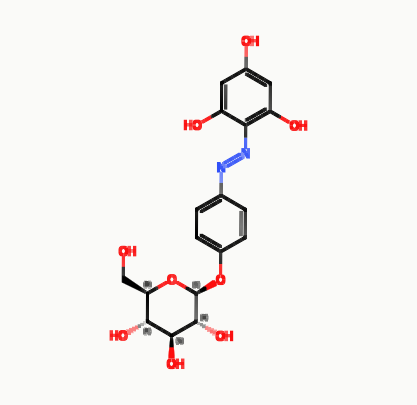 OC[C@H]1O[C@@H](Oc2ccc(N=Nc3c(O)cc(O)cc3O)cc2)[C@H](O)[C@@H](O)[C@@H]1O